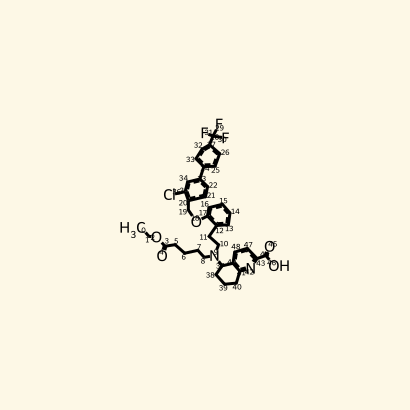 CCOC(=O)CCCCN(CCc1ccccc1OCc1ccc(-c2ccc(C(F)(F)F)cc2)cc1Cl)C1CCCc2nc(C(=O)O)ccc21